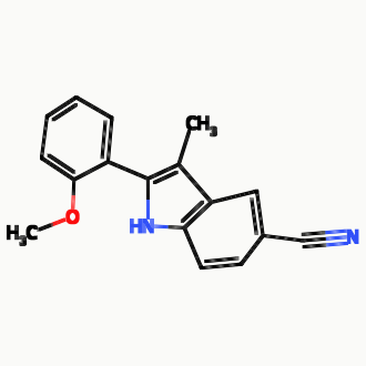 COc1ccccc1-c1[nH]c2ccc(C#N)cc2c1C